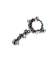 CNC(=O)CN(C)CC(=O)N1CCN(c2ncc(CNC(=O)O[C@@H]3CC[C@@H](C[C@@H](N)[C@@H]4CC(=O)[C@H](C)/C=C(\C)[C@@H](O)[C@@H](O)C(=O)[C@H](C)C[C@H](C)/C=C/C=C/C=C(\C)[C@@H](OC)C[C@@H]5CC[C@@H](C)[C@@](O)(O5)C(=O)C(=O)N5CCCC[C@H]5C(=O)O4)C[C@H]3OC)cn2)CC1